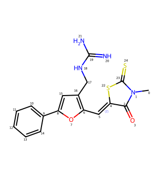 CN1C(=O)/C(=C/c2oc(-c3ccccc3)cc2CNC(=N)N)SC1=S